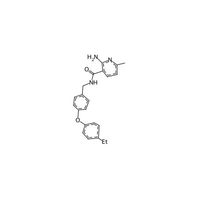 CCc1ccc(Oc2ccc(CNC(=O)c3ccc(C)nc3N)cc2)cc1